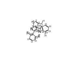 CCc1csc2nc(-c3c(F)cccc3F)c(Nc3c(C)cccc3C)n12